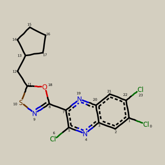 Clc1cc2nc(Cl)c(C3=NSC(CC4CCCC4)O3)nc2cc1Cl